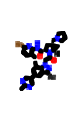 CC(=O)c1nn(CC(=O)N2[C@H](C(=O)Nc3nc(Br)ccc3C)C[C@@]3(CN4CCCC4)C[C@@H]23)c2c(C)cc(-c3cnc(C)nc3)cc12